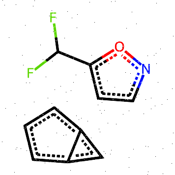 FC(F)c1ccno1.c1cc2cc-2c1